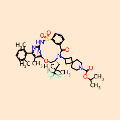 Cc1cccc(C)c1-c1nc2nc(c1C)OC[C@@H](CC(C)(C)C(F)(F)F)N(C1CC3(CCN(C(=O)OC(C)C)CC3)C1)C(=O)c1cccc(c1)S(=O)(=O)N2